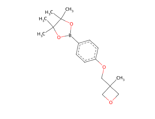 CC1(COc2ccc(B3OC(C)(C)C(C)(C)O3)cc2)COC1